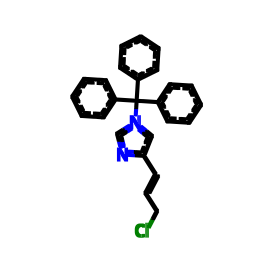 ClCC=Cc1cn(C(c2ccccc2)(c2ccccc2)c2ccccc2)cn1